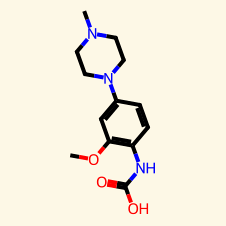 COc1cc(N2CCN(C)CC2)ccc1NC(=O)O